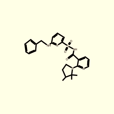 CC1CCN(c2ncccc2C(=O)NS(=O)(=O)c2cccc(NCc3ccccc3)n2)C1(C)C